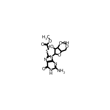 COC(=O)CSc1nc2c(=O)[nH]c(N)nc2n1C1OC2COPOC2C1O